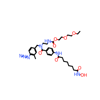 CCOCCOCCOC(=O)NCCN(Cc1ccc(N=[N+]=[N-])c(C)c1)C(=O)c1ccc(NC(=O)CCCCCCC(=O)NO)cc1